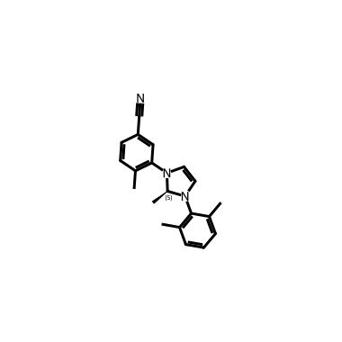 Cc1ccc(C#N)cc1N1C=CN(c2c(C)cccc2C)[C@H]1C